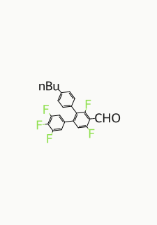 CCCCc1ccc(-c2c(-c3cc(F)c(F)c(F)c3)cc(F)c(C=O)c2F)cc1